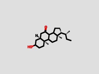 CC[C@@H](C)[C@H]1CCC2C3C(=O)C[C@@H]4CC(O)CC[C@]4(C)C3CC[C@@]21C